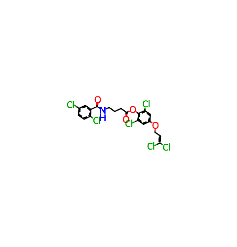 O=C(CCCNC(=O)c1cc(Cl)ccc1Cl)Oc1c(Cl)cc(OCC=C(Cl)Cl)cc1Cl